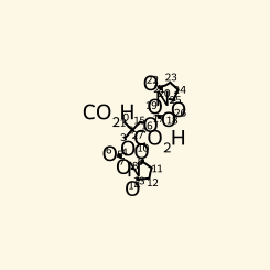 O=C(O)CC(COC(=O)ON1C(=O)CCC1=O)(COC(=O)ON1C(=O)CCC1=O)C(=O)O